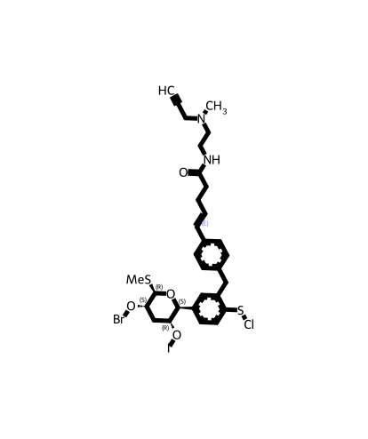 C#CCN(C)CCNC(=O)CC/C=C/c1ccc(Cc2cc([C@@H]3O[C@H](SC)[C@@H](OBr)C[C@H]3OI)ccc2SCl)cc1